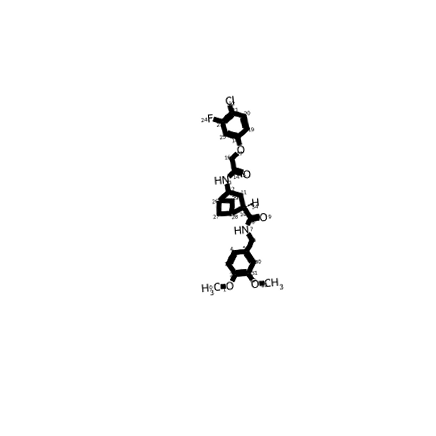 COc1ccc(CNC(=O)[C@@H]2CC(NC(=O)COc3ccc(Cl)c(F)c3)C3CC2C3)cc1OC